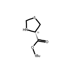 CC(C)(C)OC(=O)[C@H]1CSCN1